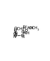 CC1CN(c2ccc3ncc(C#Cc4cncc(C(=O)Nc5ccc(CN6CCN(C)CC6)c(C(F)(F)F)c5)c4)n3n2)CCO1